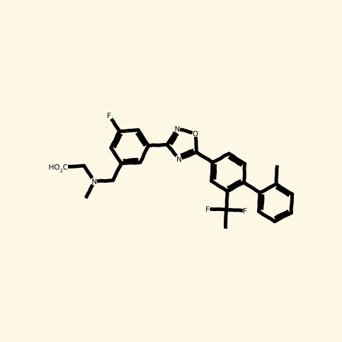 Cc1ccccc1-c1ccc(-c2nc(-c3cc(F)cc(CN(C)CC(=O)O)c3)no2)cc1C(C)(F)F